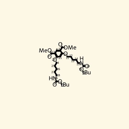 COC(=O)c1cc(C(=O)OC)c(OCCCCCNC(=O)OC(C)(C)C)cc1OCCCCCNC(=O)OC(C)(C)C